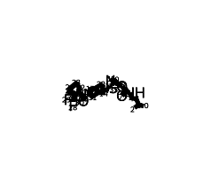 CC(C)CCNC(=O)Oc1cnc(N2CC3=C(CN(C(=O)c4ccccc4C(F)(F)F)C3)C2)s1